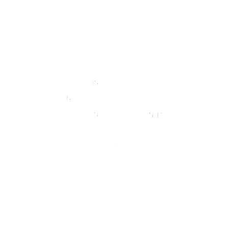 CC(=O)Nc1cc(Nc2ncc3cccc(Br)c3n2)ccc1C